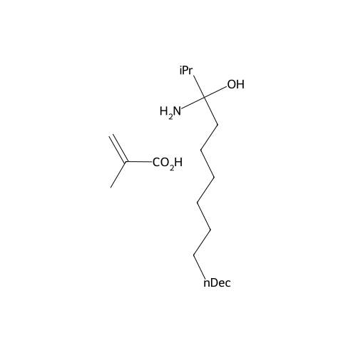 C=C(C)C(=O)O.CCCCCCCCCCCCCCCCC(N)(O)C(C)C